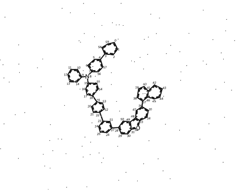 c1ccc(-c2ccc(N(c3ccccc3)c3ccc(-c4ccc(-c5cccc(-c6ccc7oc8ccc(-c9cccc%10ccccc9%10)cc8c7c6)c5)cc4)cc3)cc2)cc1